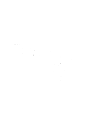 CNC(=O)c1cc(C)cc(-c2ccc(NC[C@]3(c4ncccc4F)C[C@H](F)C3)nn2)c1O